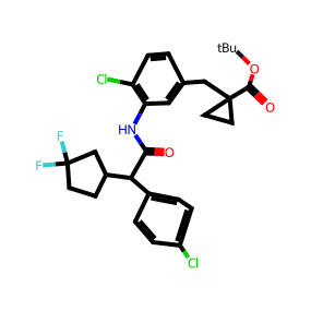 CC(C)(C)OC(=O)C1(Cc2ccc(Cl)c(NC(=O)C(c3ccc(Cl)cc3)C3CCC(F)(F)C3)c2)CC1